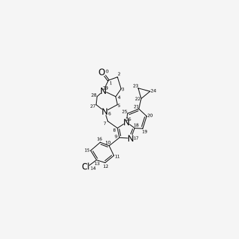 O=C1CCC2CN(Cc3c(-c4ccc(Cl)cc4)nc4ccc(C5CC5)cn34)CCN12